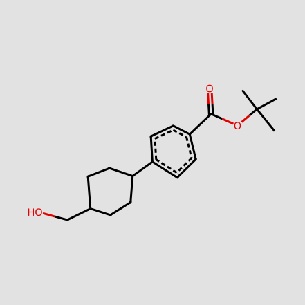 CC(C)(C)OC(=O)c1ccc(C2CCC(CO)CC2)cc1